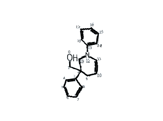 OCC1(c2ccccc2)CC=CN(c2ccccc2)C1